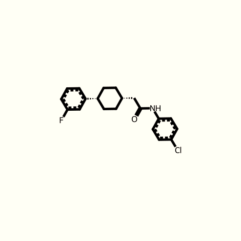 O=C(C[C@H]1CC[C@@H](c2cccc(F)c2)CC1)Nc1ccc(Cl)cc1